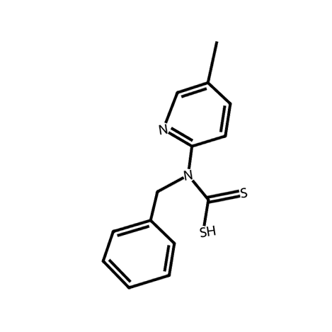 Cc1ccc(N(Cc2ccccc2)C(=S)S)nc1